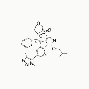 Cc1nnn(C)c1-c1cnc2c3c(OCC(C)C)ncc(S(C)(=O)=O)c3n([C@H](c3ccccc3)C3CCOCC3)c2c1